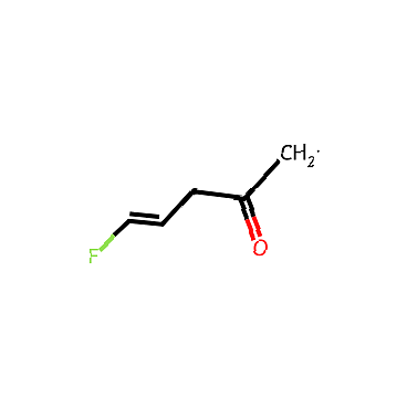 [CH2]C(=O)CC=CF